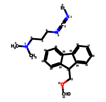 CCN=C=NCCCN(C)C.O=COCC1c2ccccc2-c2ccccc21